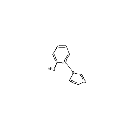 CC(C)(C)c1ccccc1-n1[c]ncc1